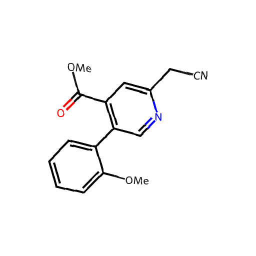 COC(=O)c1cc(CC#N)ncc1-c1ccccc1OC